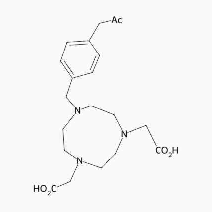 CC(=O)Cc1ccc(CN2CCN(CC(=O)O)CCN(CC(=O)O)CC2)cc1